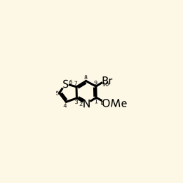 COc1nc2ccsc2cc1Br